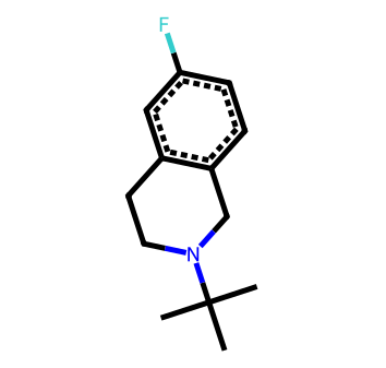 CC(C)(C)N1CCc2cc(F)ccc2C1